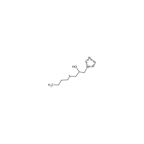 CCCCSCC(O)Cn1ccnc1